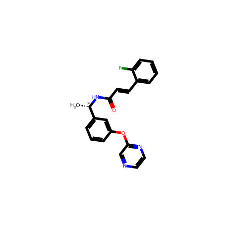 C[C@H](NC(=O)C=Cc1ccccc1F)c1cccc(Oc2cnccn2)c1